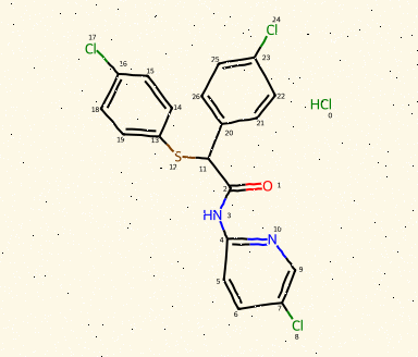 Cl.O=C(Nc1ccc(Cl)cn1)C(Sc1ccc(Cl)cc1)c1ccc(Cl)cc1